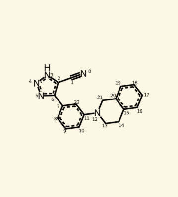 N#Cc1[nH]nnc1-c1cccc(N2CCc3ccccc3C2)c1